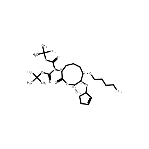 CCCCCO[C@H]1CCC[C@H](N(C(=O)OC(C)(C)C)C(=O)OC(C)(C)C)C(=O)O[C@@H](C)[C@@H]1OC1C=CCC1